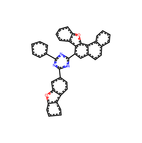 c1ccc(-c2nc(-c3ccc4c(c3)oc3ccccc34)nc(-c3cc4ccc5ccccc5c4c4oc5ccccc5c34)n2)cc1